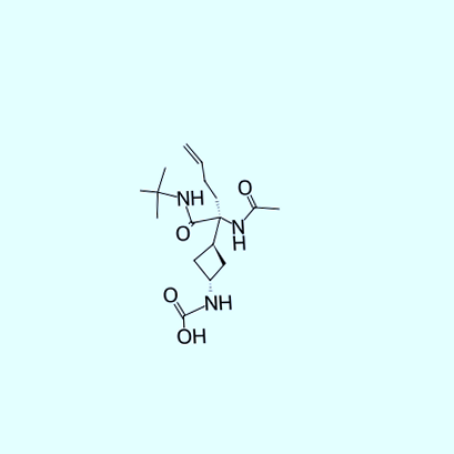 C=CCC[C@@](NC(C)=O)(C(=O)NC(C)(C)C)[C@H]1C[C@H](NC(=O)O)C1